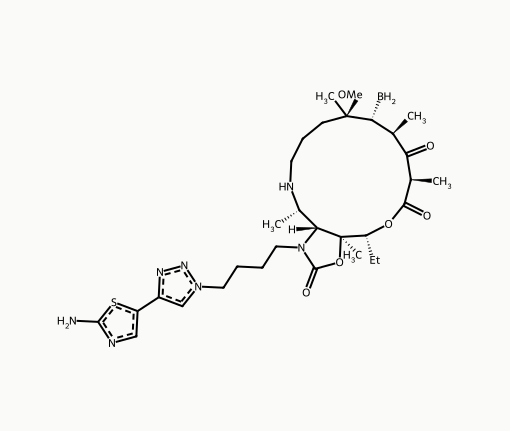 B[C@@H]1[C@@H](C)C(=O)[C@@H](C)C(=O)O[C@H](CC)[C@@]2(C)OC(=O)N(CCCCn3cc(-c4cnc(N)s4)nn3)[C@@H]2[C@H](C)NCCC[C@@]1(C)OC